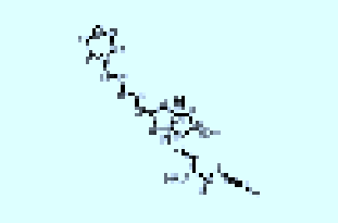 CC#CC[C@@H](C)[C@@H](O)/C=C/[C@@H]1[C@H]2CC(=CCCCCN3CCOCC3)C[C@H]2C[C@H]1O